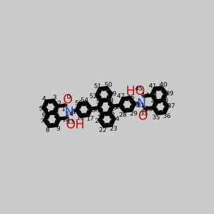 O=C1c2cccc3cccc(c23)C(O)N1c1ccc(-c2c3ccccc3c(-c3ccc(N4C(=O)c5cccc6cccc(c56)C4O)cc3)c3ccccc23)cc1